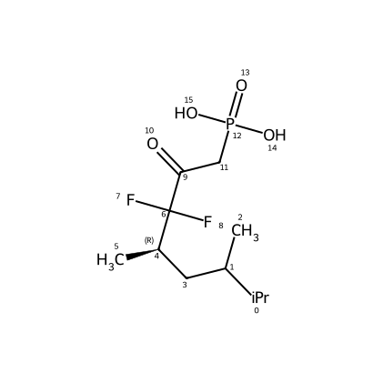 CC(C)C(C)C[C@@H](C)C(F)(F)C(=O)CP(=O)(O)O